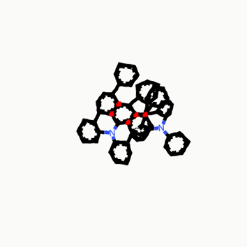 c1ccc(-c2ccc(-c3ccccc3N(c3ccc4c(c3)C3(c5ccccc5-4)c4ccccc4N(c4ccccc4)c4ccccc43)c3ccccc3-c3ccc(-c4ccccc4)cc3)cc2)cc1